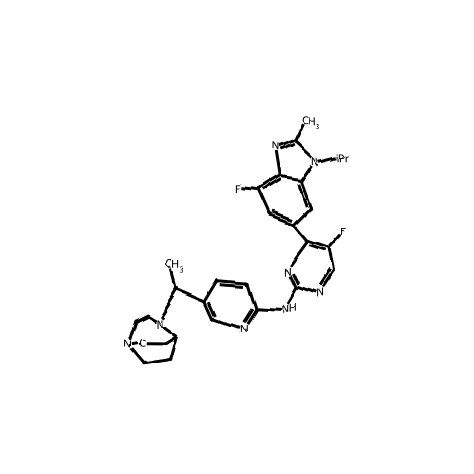 Cc1nc2c(F)cc(-c3nc(Nc4ccc(C(C)N5CCN6CCC5CC6)cn4)ncc3F)cc2n1C(C)C